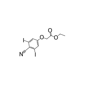 CCOC(=O)COc1cc(I)c(C#N)c(I)c1